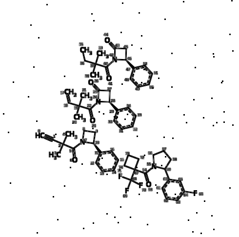 C#CC(C)(C)C(=O)N1CC[C@H]1c1ccccc1.C=CC(C)(C)C(=O)N1C(=O)C[C@H]1c1ccccc1.CCC(C)(C)C(=O)N1C(=O)C[C@H]1c1ccccc1.O=C(N1CCCC1c1cccc(F)c1)C1(C(F)(F)F)CCC1